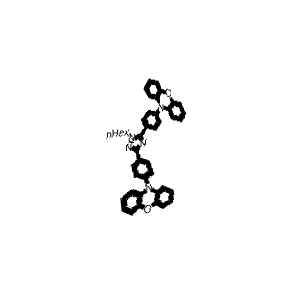 CCCCCCn1nc(-c2ccc(N3c4ccccc4Oc4ccccc43)cc2)nc1-c1ccc(N2c3ccccc3Oc3ccccc32)cc1